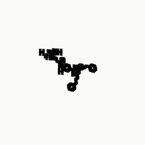 N=C(N)NCCC(=O)Nc1ccc(-c2nc(CCCc3ccccc3)cc(OCCc3ccccc3)n2)cc1